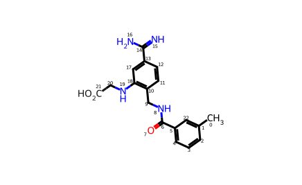 Cc1cccc(C(=O)NCc2ccc(C(=N)N)cc2NCC(=O)O)c1